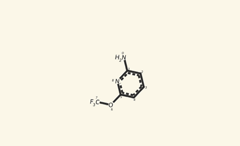 Nc1cccc(OC(F)(F)F)n1